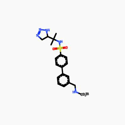 CCOC(=O)NCc1cccc(-c2ccc(S(=O)(=O)NC(C)(C)C3CN=NN3)cc2)c1